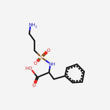 NCCCS(=O)(=O)NC(Cc1ccccc1)C(=O)O